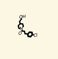 O=C(CCc1ccc(Cl)cc1)N1CCC(CCO)CC1